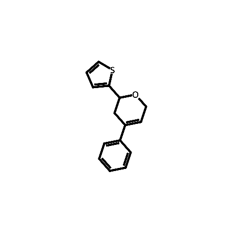 C1=C(c2ccccc2)CC(c2cccs2)OC1